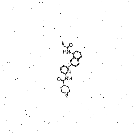 C=CC(=O)Nc1cccc2ccc(-c3cccc(NC(=O)C4CCN(C)CC4)n3)cc12